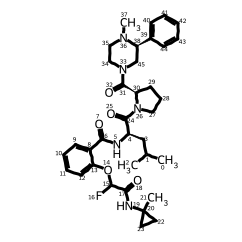 CC(C)C[C@@H](NC(=O)c1ccccc1OC(F)C(=O)NC1(C)CC1)C(=O)N1CCC[C@@H]1C(=O)N1CCN(C)[C@@H](c2ccccc2)C1